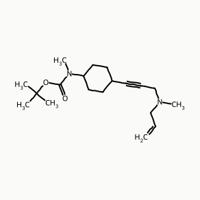 C=CCN(C)CC#CC1CCC(N(C)C(=O)OC(C)(C)C)CC1